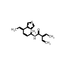 C=C/C(=C\C)C(=O)NC(=C)/C=C\C(=C/C)c1ccsc1